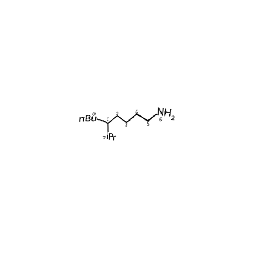 CCCCC(CCCCN)C(C)C